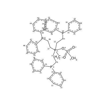 CS(=O)(=O)OP(C)(CCP(c1ccccc1)c1ccccc1)(CCP(c1ccccc1)c1ccccc1)CCP(c1ccccc1)c1ccccc1